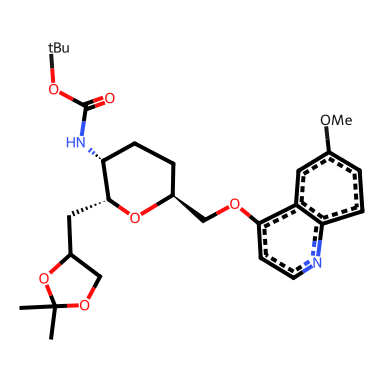 COc1ccc2nccc(OC[C@@H]3CC[C@@H](NC(=O)OC(C)(C)C)[C@@H](CC4COC(C)(C)O4)O3)c2c1